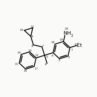 CCc1ccc(C(C)(CCC2CC2)c2ccccc2)cc1N